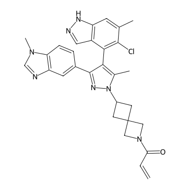 C=CC(=O)N1CC2(CC(n3nc(-c4ccc5c(c4)ncn5C)c(-c4c(Cl)c(C)cc5[nH]ncc45)c3C)C2)C1